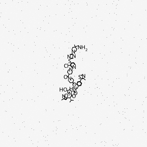 Cc1cc([C@@H](C(=O)N2C[C@H](O)C[C@H]2C(=O)NCc2ccc(-c3scnc3C)cc2OC2CCN(C(=O)C3CCN(c4nccc(Sc5cnc(N6CCC(C)(CN)CC6)cn5)c4Cl)CC3)CC2)C(C)C)on1